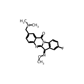 CO/N=C1/c2cc(F)ccc2-n2c1nc1ccc(CN(C)C)cc1c2=O